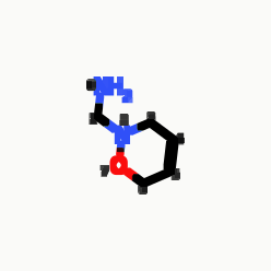 NCN1CC=CCO1